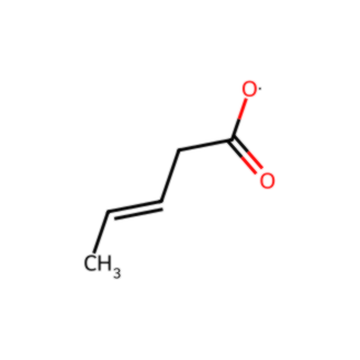 CC=CCC([O])=O